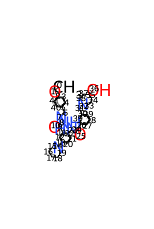 COc1ccc(C=NNC(=O)c2cc(N3CCCCC3)ccc2NC(=O)c2cccc(CN3CCC(O)CC3)c2)cc1